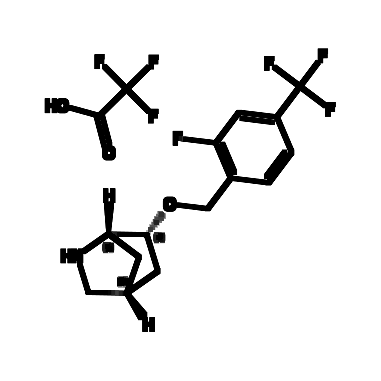 Fc1cc(C(F)(F)F)ccc1CO[C@@H]1C[C@@H]2CN[C@H]1C2.O=C(O)C(F)(F)F